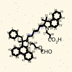 CC1(Cc2ccccc2)C(/C=C/C=C/C=C2\N(CCC(=O)O)c3ccc4ccccc4c3C2(C)C)=[N+](CCOC=O)c2c1c1ccccc1c1ccccc21